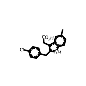 Cc1ccc2[nH]c(Cc3ccc(Cl)cc3)c(CC(=O)O)c2c1